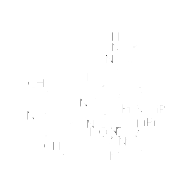 C=C1CN2CC(=C)CC2(COc2nc(N3C[C@H]4CC[C@@H](C3)N4C(=O)O)c3ccc(-c4n[nH]c5cccc(C#C[Si](C(C)C)(C(C)C)C(C)C)c45)c(F)c3n2)C1